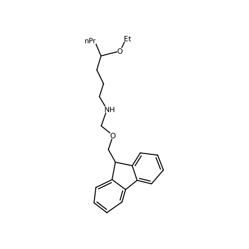 CCCC(CCCNCOCC1c2ccccc2-c2ccccc21)OCC